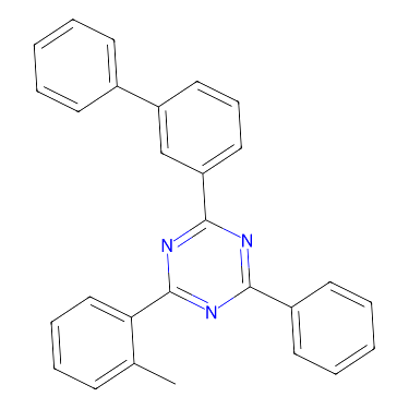 Cc1ccccc1-c1nc(-c2ccccc2)nc(-c2cccc(-c3ccccc3)c2)n1